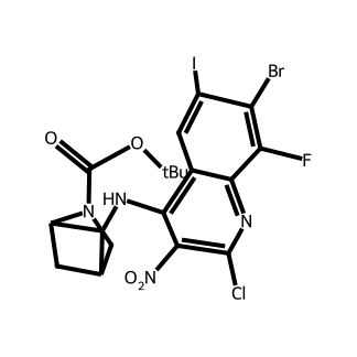 CC(C)(C)OC(=O)N1CC2CC1C2Nc1c([N+](=O)[O-])c(Cl)nc2c(F)c(Br)c(I)cc12